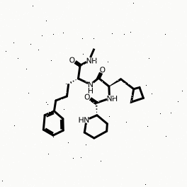 CNC(=O)[C@@H](CCCc1ccccc1)NC(=O)[C@@H](CC1CCC1)NC(=O)[C@@H]1CCCCN1